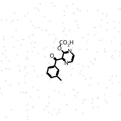 Cc1cccc(C(=O)c2nccnc2OC(=O)O)c1